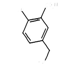 O=C(O)c1cc(CC(F)(F)F)ccc1Cl